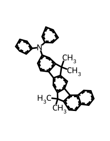 CC1(C)c2cc(N(c3ccccc3)c3ccccc3)ccc2-c2cc3c(cc21)-c1c(ccc2ccccc12)C3(C)C